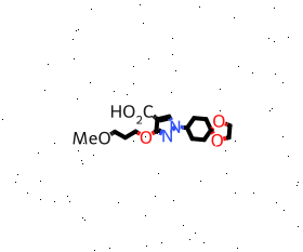 COCCCOc1nn(C2CCC3(CC2)OCCO3)cc1C(=O)O